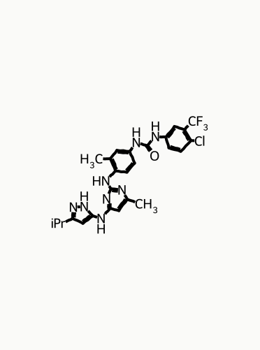 Cc1cc(Nc2cc(C(C)C)n[nH]2)nc(Nc2ccc(NC(=O)Nc3ccc(Cl)c(C(F)(F)F)c3)cc2C)n1